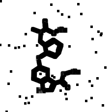 CN(Cc1ccccc1Sc1ccc2[nH]cc(C(=O)OC(C)(C)C)c2c1)C(=O)OC(C)(C)C